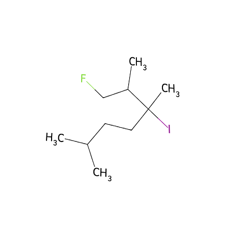 CC(C)CCC(C)(I)C(C)CF